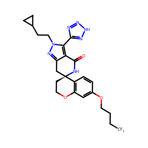 O=C1N[C@@]2(CCOc3cc(OCCCC(F)(F)F)ccc32)Cc2nn(CCC3CC3)c(-c3nn[nH]n3)c21